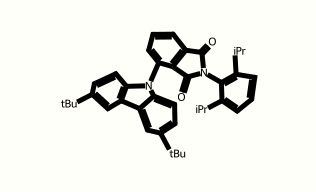 CC(C)c1cccc(C(C)C)c1N1C(=O)c2cccc(-n3c4ccc(C(C)(C)C)cc4c4cc(C(C)(C)C)ccc43)c2C1=O